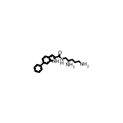 NCCC[C@H](N)CNC(=O)c1cc2ccc(-c3ccccc3)cc2[nH]1